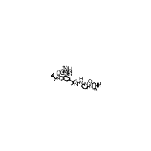 CNS(=O)(=O)c1cc(-c2sc(Nc3cccc(N4C[C@H](C)NCC4=O)n3)nc2C)cc2c1C(=O)N([C@@H](C)C1CC1)C2